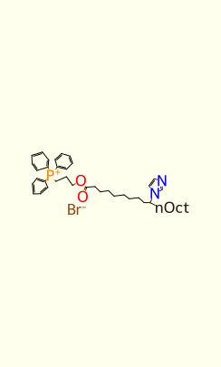 CCCCCCCCC(CCCCCCCCC(=O)OCCC[P+](c1ccccc1)(c1ccccc1)c1ccccc1)n1ccnc1.[Br-]